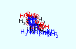 C[C@H](NC(=O)[C@H](CCC(=O)O)NC(=O)[C@H](C)NC(=O)[C@H](CCCN=C(N)N)NC(=O)[C@H](C)NC(=O)[C@H](CCC(=O)O)NC(=O)[C@H](C)NC(=O)[C@@H](N)CCCN=C(N)N)C(=O)O